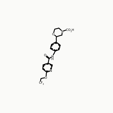 O=C(Nc1ccc(C2CN(C(=O)O)CCO2)cc1)c1ccc(OCC(F)(F)F)nc1